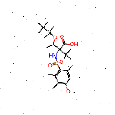 COc1cc(C)c(S(=O)(=O)NC(C(=O)O)(C(C)O[Si](C)(C)C(C)(C)C)C(C)(C)C)c(C)c1C